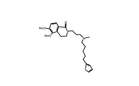 COc1ccc2c(c1OC)CCN(CCCN(C)CCCCCc1cccs1)C2=O